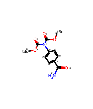 CC(C)(C)OC(=O)N(C(=O)OC(C)(C)C)c1ccc(C(N)=O)cc1